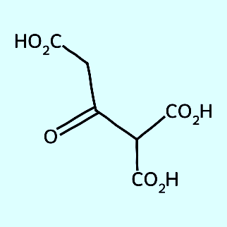 O=C(O)CC(=O)C(C(=O)O)C(=O)O